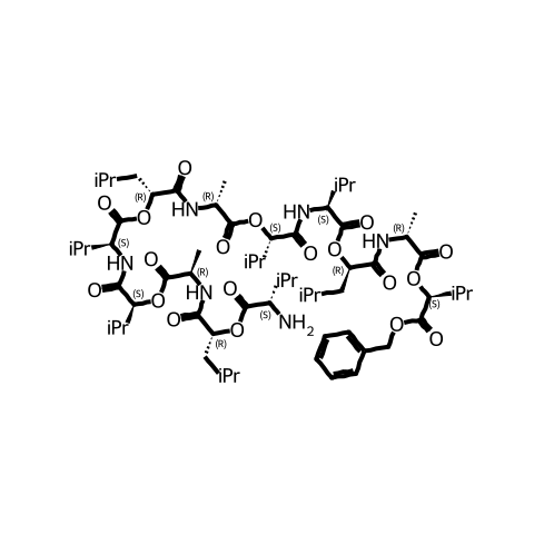 CC(C)C[C@@H](OC(=O)[C@@H](N)C(C)C)C(=O)N[C@H](C)C(=O)O[C@H](C(=O)N[C@H](C(=O)O[C@H](CC(C)C)C(=O)N[C@H](C)C(=O)O[C@H](C(=O)N[C@H](C(=O)O[C@H](CC(C)C)C(=O)N[C@H](C)C(=O)O[C@H](C(=O)OCc1ccccc1)C(C)C)C(C)C)C(C)C)C(C)C)C(C)C